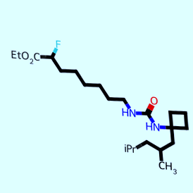 CCOC(=O)C(F)CCCCCCNC(=O)NC1(CC(C)CC(C)C)CCC1